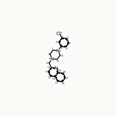 Clc1[c]ccc(N2CCN(Cc3ccc4ccccc4n3)CC2)c1